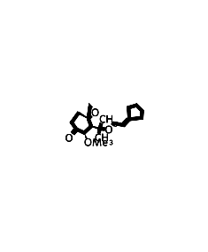 CO[C@@H]1C(=O)CC[C@]2(CO2)[C@H]1C(C)(C)OCC=C1CCCC1